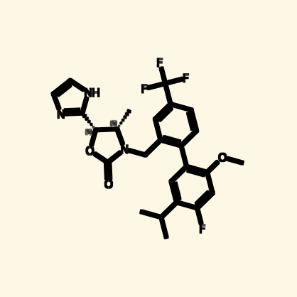 COc1cc(F)c(C(C)C)cc1-c1ccc(C(F)(F)F)cc1CN1C(=O)O[C@H](c2ncc[nH]2)[C@@H]1C